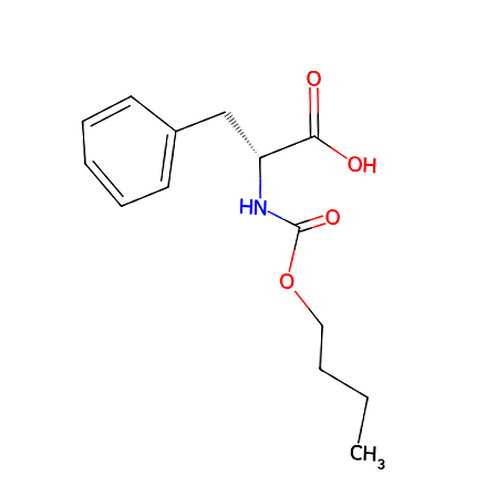 CCCCOC(=O)N[C@H](Cc1ccccc1)C(=O)O